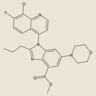 CCCc1nc2c(C(=O)OC)cc(N3CCOCC3)cc2n1-c1ccnc2c(Cl)c(F)ccc12